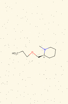 CN1CCCC[C@H]1COCCC(=O)O